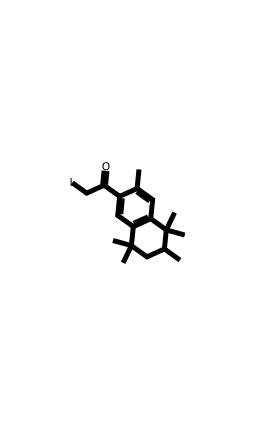 Cc1cc2c(cc1C(=O)CI)C(C)(C)CC(C)C2(C)C